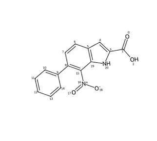 O=C(O)c1cc2ccc(-c3ccccc3)c([N+](=O)[O-])c2[nH]1